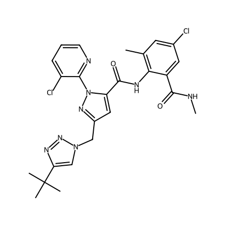 CNC(=O)c1cc(Cl)cc(C)c1NC(=O)c1cc(Cn2cc(C(C)(C)C)nn2)nn1-c1ncccc1Cl